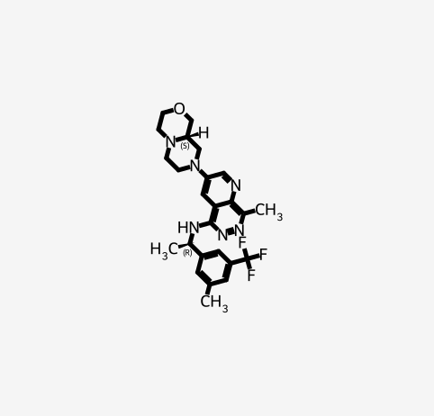 Cc1cc([C@@H](C)Nc2nnc(C)c3ncc(N4CCN5CCOC[C@@H]5C4)cc23)cc(C(F)(F)F)c1